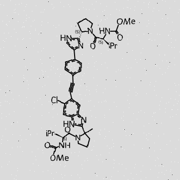 COC(=O)N[C@H](C(=O)N1CCC[C@H]1c1nc(-c2ccc(C#Cc3cc4nc(C5(C)CCCN5C(=O)[C@@H](NC(=O)OC)C(C)C)[nH]c4cc3Cl)cc2)c[nH]1)C(C)C